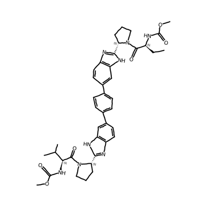 CC[C@H](NC(=O)OC)C(=O)N1CCC[C@H]1c1nc2ccc(-c3ccc(-c4ccc5nc([C@@H]6CCCN6C(=O)[C@@H](NC(=O)OC)C(C)C)[nH]c5c4)cc3)cc2[nH]1